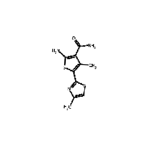 Cc1csc(-c2sc(N)c(C(N)=O)c2C)n1